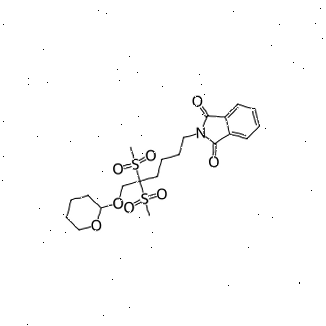 CS(=O)(=O)C(CCCCN1C(=O)c2ccccc2C1=O)(COC1CCCCO1)S(C)(=O)=O